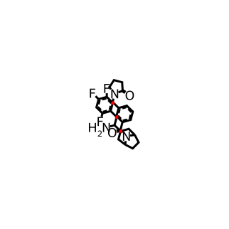 NC(Cc1cc(F)c(F)cc1F)C1CC2CCC(C1)N2C(=O)c1cccc(CN2CCCC2=O)c1